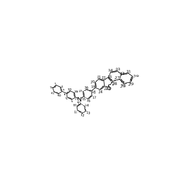 c1ccc(-c2ccc(N(c3ccccc3)c3ccc(-c4ccc5c(c4)sc4c6ccccc6ccc54)cc3)cc2)cc1